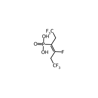 O=P(O)(O)C(CC(F)(F)F)=C(F)CC(F)(F)F